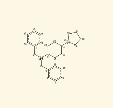 c1ccc(CN(Cc2ccccc2)C2CCC(N3CCCC3)CC2)cc1